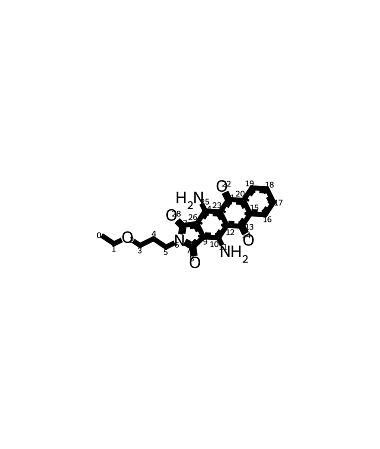 CCOCCCn1c(=O)c2c(N)c3c(=O)c4ccccc4c(=O)c3c(N)c2c1=O